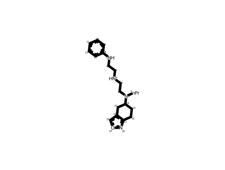 CCCN(CCNCCNc1ccccc1)C1CCc2nocc2C1